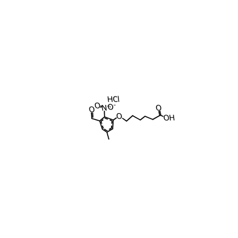 Cc1cc(C=O)c([N+](=O)[O-])c(OCCCCCC(=O)O)c1.Cl